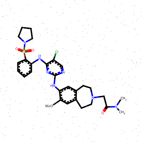 COc1cc2c(cc1Nc1ncc(Cl)c(Nc3ccccc3S(=O)(=O)N3CCCC3)n1)CCN(CC(=O)N(C)C)CC2